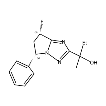 CCC(C)(O)c1nc2n(n1)[C@H](c1ccccc1)C[C@@H]2F